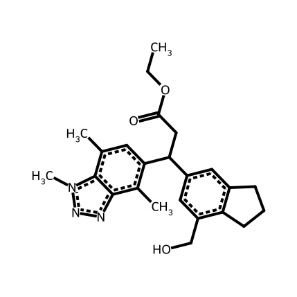 CCOC(=O)CC(c1cc(CO)c2c(c1)CCC2)c1cc(C)c2c(nnn2C)c1C